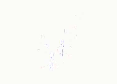 CNC(=O)[C@H](Cc1c[nH]c2c(Br)cccc12)NC(=O)[C@H](C)NC(=O)[C@H](Cc1ccc(OCc2ccccc2)c(I)c1)NC(=O)OC(C)(C)C